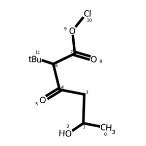 CC(O)CC(=O)C(C(=O)OCl)C(C)(C)C